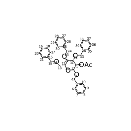 CC(=O)O[C@H]1[C@@H](OCc2ccccc2)O[C@H](COCc2ccccc2)[C@@H](OCc2ccccc2)[C@@H]1OCc1ccccc1